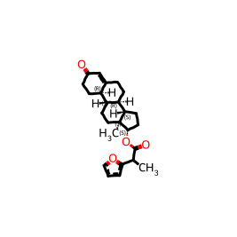 CC(C(=O)O[C@H]1CC[C@H]2[C@@H]3CCC4=CC(=O)CC[C@@H]4[C@H]3CC[C@]12C)c1ccco1